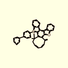 C=C1/C=C\C=C/CC(C)(C)c2c1c1oc3ccccc3c1c1c3ccccc3n(-c3ccc(-c4ccccc4)cc3)c21